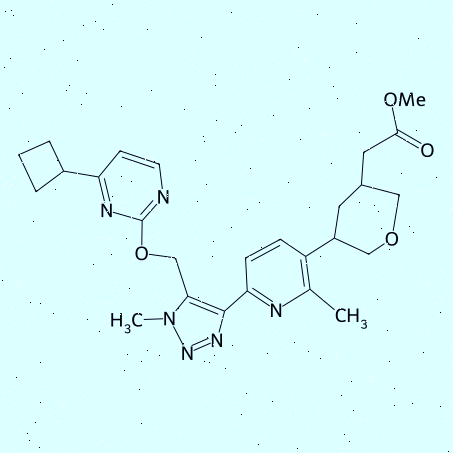 COC(=O)CC1COCC(c2ccc(-c3nnn(C)c3COc3nccc(C4CCC4)n3)nc2C)C1